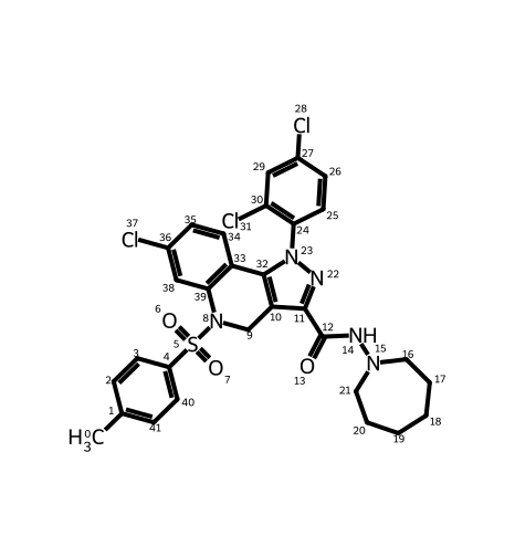 Cc1ccc(S(=O)(=O)N2Cc3c(C(=O)NN4CCCCCC4)nn(-c4ccc(Cl)cc4Cl)c3-c3ccc(Cl)cc32)cc1